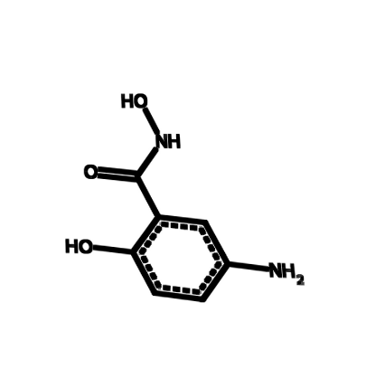 Nc1ccc(O)c(C(=O)NO)c1